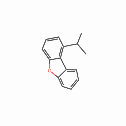 CC(C)c1cccc2oc3ccccc3c12